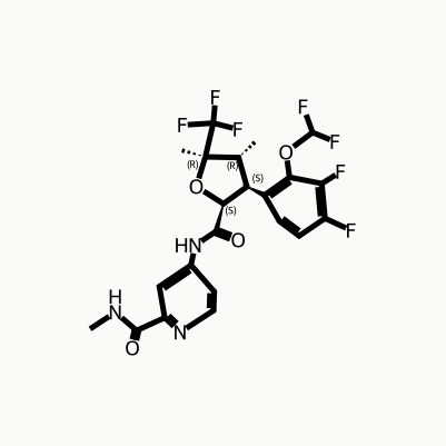 CNC(=O)c1cc(NC(=O)[C@H]2O[C@@](C)(C(F)(F)F)[C@H](C)[C@H]2c2ccc(F)c(F)c2OC(F)F)ccn1